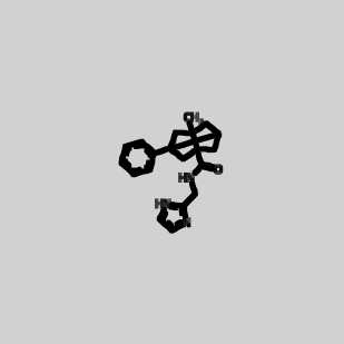 CC12CC3CC1(C(=O)NCc1ncc[nH]1)CC3(c1ccccc1)C2